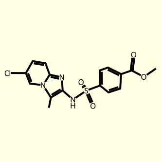 COC(=O)c1ccc(S(=O)(=O)Nc2nc3ccc(Cl)cn3c2C)cc1